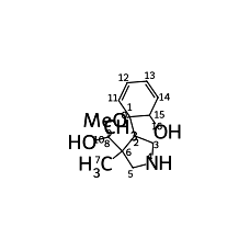 COC1(C2CNCC2(C)C(C)O)C=CC=CC1O